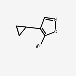 CC(C)c1oncc1C1CC1